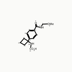 COCNC(=O)c1ccc(C2(NC(=O)O)CCC2)cc1